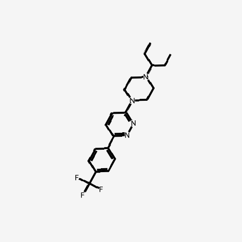 CCC(CC)N1CCN(c2ccc(-c3ccc(C(F)(F)F)cc3)nn2)CC1